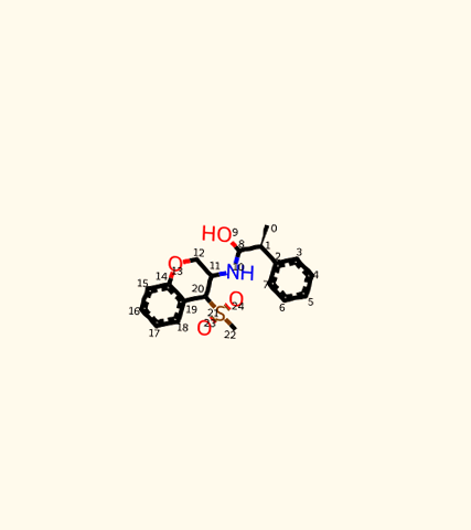 C[C@@H](c1ccccc1)C(O)NC1COc2ccccc2C1S(C)(=O)=O